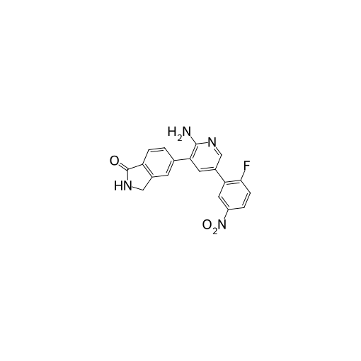 Nc1ncc(-c2cc([N+](=O)[O-])ccc2F)cc1-c1ccc2c(c1)CNC2=O